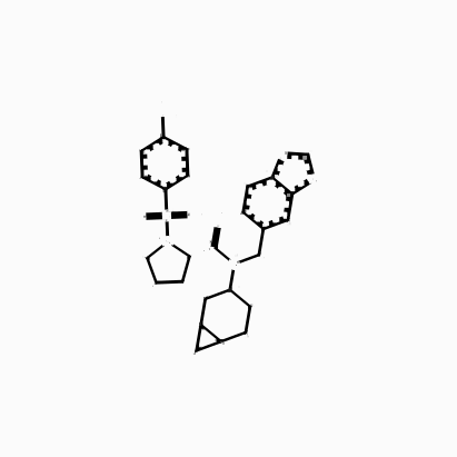 Cc1ccc(S(=O)(=O)N2CCC[C@H]2C(=O)N(Cc2ccc3ocnc3c2)C2CCC3CC3C2)cc1